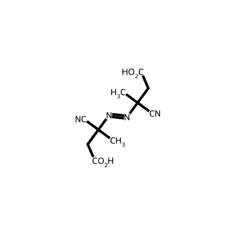 CC(C#N)(CC(=O)O)N=NC(C)(C#N)CC(=O)O